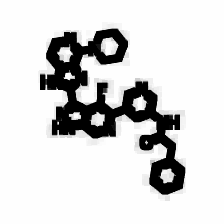 O=C(Cc1ccccc1)Nc1cncc(-c2ncc3[nH]nc(-c4nc5c(N6CCCCC6)nccc5[nH]4)c3c2F)c1